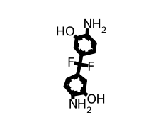 Nc1ccc(C(F)(F)c2ccc(N)c(O)c2)cc1O